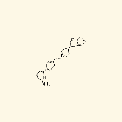 Nc1cccc(-c2ccc(CCN3CCN(C(C=O)Cc4ccccc4)CC3)cc2)n1